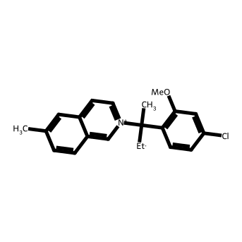 C[CH]C(C)(c1ccc(Cl)cc1OC)[n+]1ccc2cc(C)ccc2c1